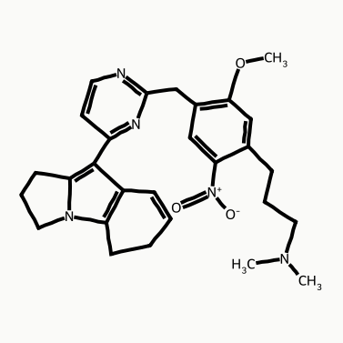 COc1cc(CCCN(C)C)c([N+](=O)[O-])cc1Cc1nccc(-c2c3c(n4c2CCC4)CCC=C3)n1